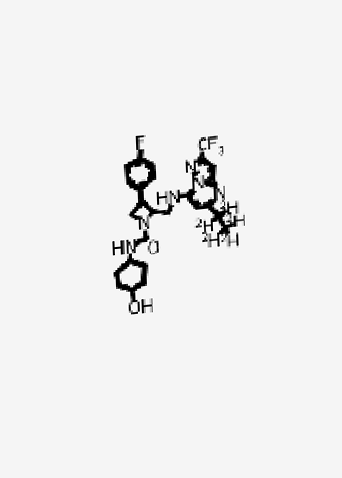 [2H]C([2H])([2H])C([2H])([2H])c1cc(NCC2C(c3ccc(F)cc3)CN2C(=O)NC2CCC(O)CC2)n2nc(C(F)(F)F)cc2n1